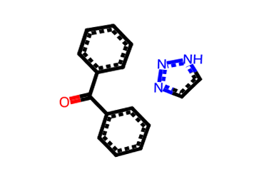 O=C(c1ccccc1)c1ccccc1.c1c[nH]nn1